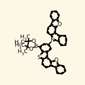 CC1(C)OB(c2cc(-n3c4ccccc4c4c5oc6ccccc6c5ccc43)cc3c2sc2ccc4c5ccccc5oc4c23)OC1(C)C